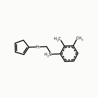 Cc1cccc([SiH2][CH2][Pt][C]2=CC=CC2)c1C